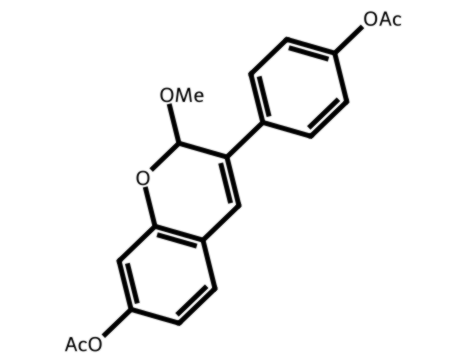 COC1Oc2cc(OC(C)=O)ccc2C=C1c1ccc(OC(C)=O)cc1